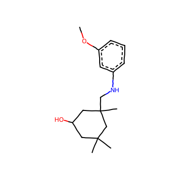 COc1cccc(NCC2(C)CC(O)CC(C)(C)C2)c1